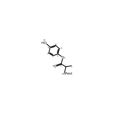 CCCCCC(C)C(=O)Oc1ccc(O)cc1